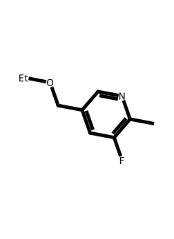 CCOCc1cnc(C)c(F)c1